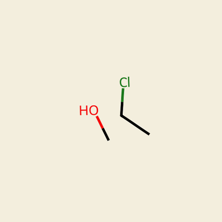 CCCl.CO